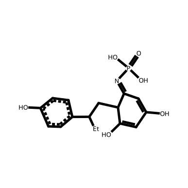 CCC(CC1C(O)=CC(O)=C/C1=N\P(=O)(O)O)c1ccc(O)cc1